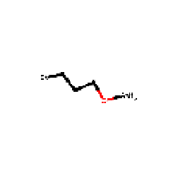 CCCCCO[AsH2]